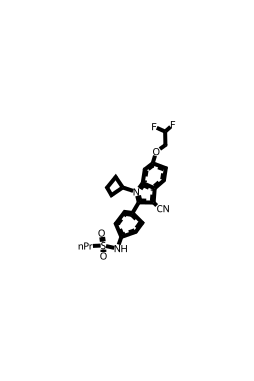 CCCS(=O)(=O)Nc1ccc(-c2c(C#N)c3ccc(OCC(F)F)cc3n2C2CCC2)cc1